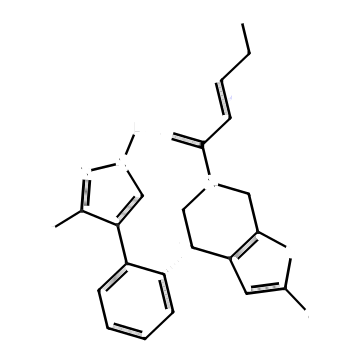 CCn1cc(-c2ccccc2[C@@H]2CN(C(=O)/C=C/CF)Cc3sc(Cl)cc32)c(C(F)(F)F)n1